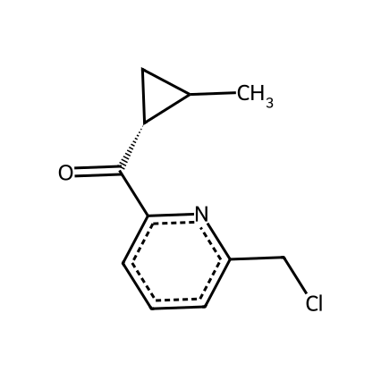 CC1C[C@H]1C(=O)c1cccc(CCl)n1